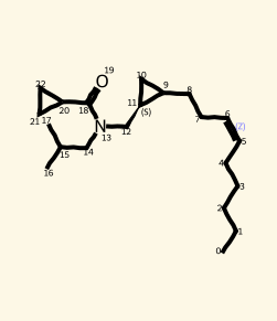 CCCCC/C=C\CCC1C[C@@H]1CN(CC(C)C)C(=O)C1CC1